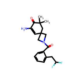 CC1(C)CC2(C=C(N)C1=O)CN(C(=O)c1ccccc1CC(F)F)C2